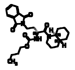 CCCCOC(=O)N[C@H](CCN1C(=O)c2ccccc2C1=O)C(=O)N1CCC[C@H]2CCCC[C@@H]21